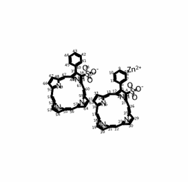 O=S(=O)([O-])c1c(-c2ccccc2)c2cc3nc(cc4ccc(cc5nc(cc1[nH]2)C=C5)[nH]4)C=C3.O=S(=O)([O-])c1c(-c2ccccc2)c2cc3nc(cc4ccc(cc5nc(cc1[nH]2)C=C5)[nH]4)C=C3.[Zn+2]